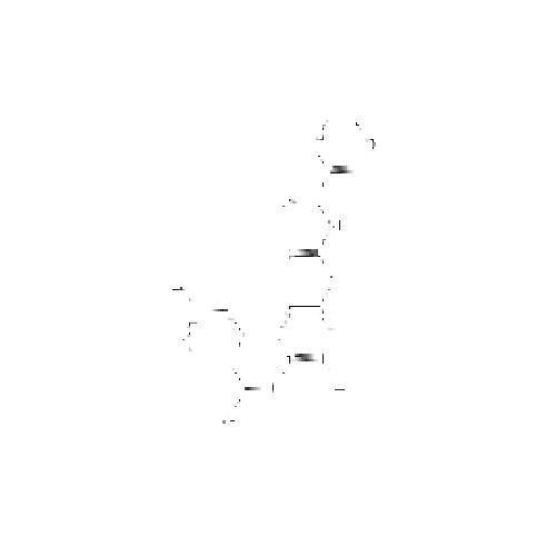 Cc1ccccc1C(=O)NC(=O)Nc1ccc(OC(C)c2ccc(Cl)cc2)c(Cl)c1